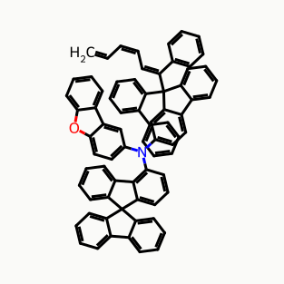 C=C/C=C\C=C(/c1ccccc1)C1(c2ccccc2-c2ccccc2)c2ccccc2-c2ccc(N(c3ccc4oc5ccccc5c4c3)c3cccc4c3-c3ccccc3C43c4ccccc4-c4ccccc43)cc21